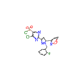 O=S(=O)(Cl)c1cnc(-c2cc(-c3ccon3)n(Cc3ccccc3F)n2)nc1Cl